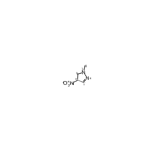 CN1CC([N+](=O)[O-])[C]=N1